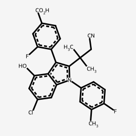 Cc1cc(-n2c(C(C)(C)CC#N)c(-c3ccc(C(=O)O)cc3F)c3c(O)cc(Cl)cc32)ccc1F